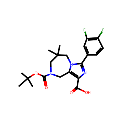 CC1(C)CN(C(=O)OC(C)(C)C)Cc2c(C(=O)O)nc(-c3ccc(F)c(F)c3)n2C1